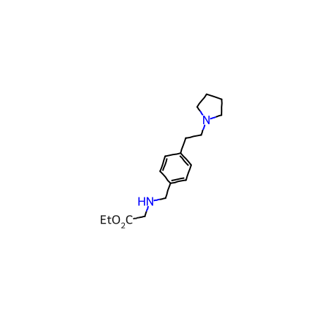 CCOC(=O)CNCc1ccc(CCN2CCCC2)cc1